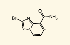 NC(=O)c1[c]ccn2nc(Br)nc12